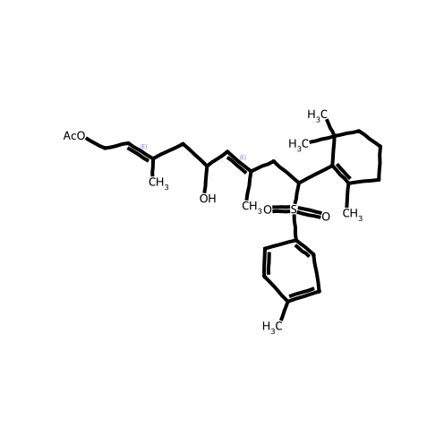 CC(=O)OC/C=C(\C)CC(O)/C=C(\C)CC(C1=C(C)CCCC1(C)C)S(=O)(=O)c1ccc(C)cc1